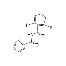 O=C(NC(=O)c1c(F)cccc1F)c1ccccc1